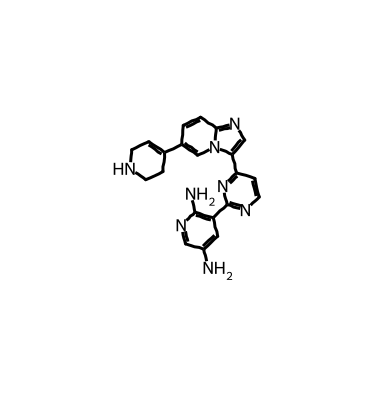 Nc1cnc(N)c(-c2nccc(-c3cnc4ccc(C5=CCNCC5)cn34)n2)c1